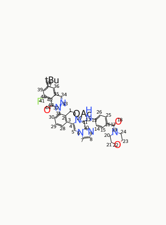 CC(=O)OCc1c(-c2cn3ccnc3c(Nc3ccc(C(=O)N4CCOCC4)cc3)n2)cccc1-n1ncc2cc(C(C)(C)C)cc(F)c2c1=O